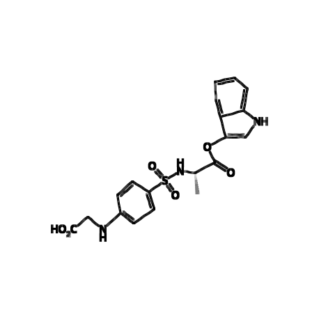 C[C@H](NS(=O)(=O)c1ccc(NCC(=O)O)cc1)C(=O)Oc1c[nH]c2ccccc12